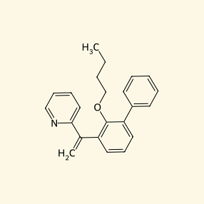 C=C(c1ccccn1)c1cccc(-c2ccccc2)c1OCCCC